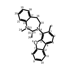 Cc1ccc2c(oc3ccccc32)c1N1CCc2ccccc2N(C)[C@@H]1C